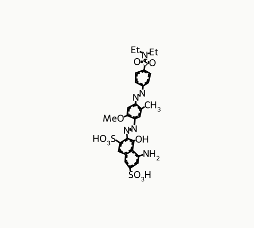 CCN(CC)S(=O)(=O)c1ccc(/N=N/c2cc(OC)c(/N=N/c3c(S(=O)(=O)O)cc4cc(S(=O)(=O)O)cc(N)c4c3O)cc2C)cc1